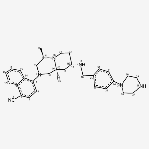 C[C@@H]1CN(c2ccc(C#N)c3ncccc23)C[C@@H]2C[C@@H](NCc3ccc(N4CCNCC4)cc3)CCN21